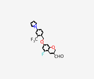 O=CC1=Cc2c(F)cc(OCc3ccc(-n4cccc4)cc3C(F)(F)F)cc2OC1